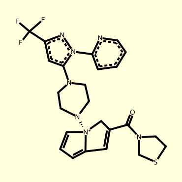 O=C(C1=CC2=CC=C[N@@+]2(N2CCN(c3cc(C(F)(F)F)nn3-c3ccccn3)CC2)C1)N1CCSC1